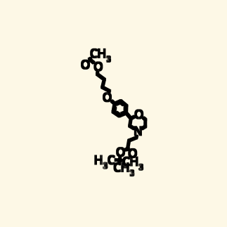 CC(=O)OCCCCOc1ccc(C2CN(CCC(=O)OC(C)(C)C)CCO2)cc1